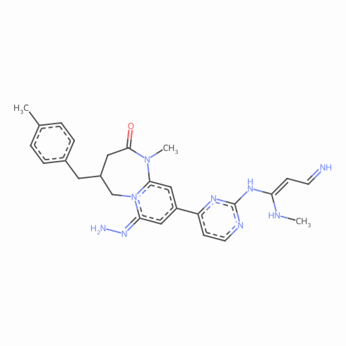 CN/C(=C\C=N)Nc1nccc(-c2cc3n(/c(=N\N)c2)CC(Cc2ccc(C)cc2)CC(=O)N3C)n1